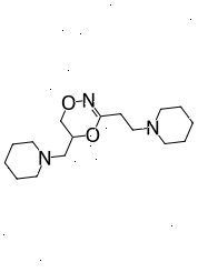 C1CCN(CCC2=NOCC(CN3CCCCC3)O2)CC1